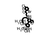 COC(O)Nc1ccc2c(c1)NC(=O)[C@H](C)CCC[C@H](NCCC(=O)c1c(Br)ccc(Cl)c1F)c1cc-2c2c(n1)CCO2